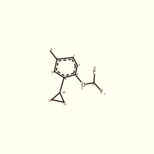 Cc1ccc(OC(F)F)c(C2CC2)c1